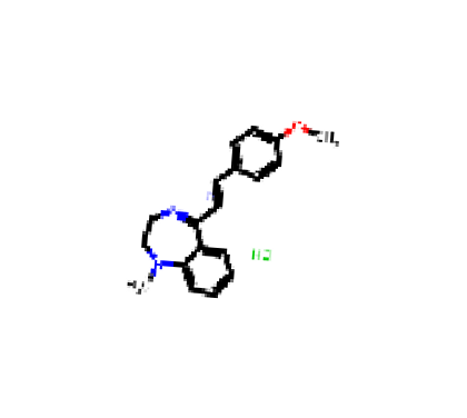 COc1ccc(/C=C/C2=NCCN(C)c3ccccc32)cc1.Cl